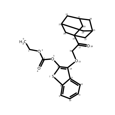 CCOC(=O)Oc1sc2ccccc2c1OCC(=O)C12CC3CC(CC(C3)C1)C2